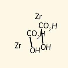 O=C(O)O.O=C(O)O.[Zr].[Zr]